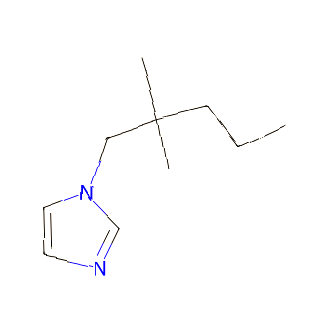 CCCC(C)(C)Cn1ccnc1